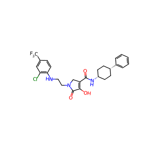 O=C(N[C@H]1CC[C@@H](c2ccccc2)CC1)C1=C(O)C(=O)N(CCNc2ccc(C(F)(F)F)cc2Cl)C1